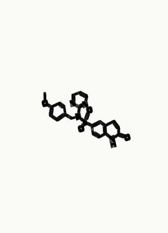 COc1ccc(CN(c2ncccn2)S(=O)(=O)c2ccc3[nH]c(=O)ccc3c2)cc1